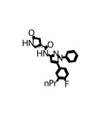 CCCc1cc(-c2cc(NC(=O)[C@H]3CNC(=O)C3)nn2-c2ccccc2)ccc1F